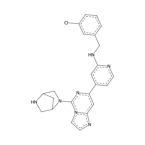 Clc1cccc(CNc2cc(-c3cc4nccn4c(N4CC5CC4CN5)n3)ccn2)c1